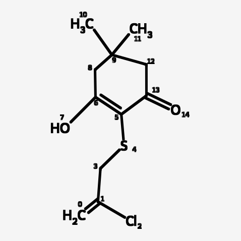 C=C(Cl)CSC1=C(O)CC(C)(C)CC1=O